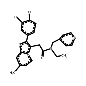 CCN(Cc1ccncc1)C(=O)Cc1c(-c2ccc(Cl)c(Cl)c2)nc2cc(C)ccn12